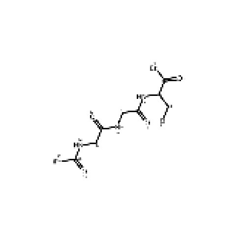 CCC(=O)C(CO)NC(=O)CNC(=O)CNC(=O)C(C)C